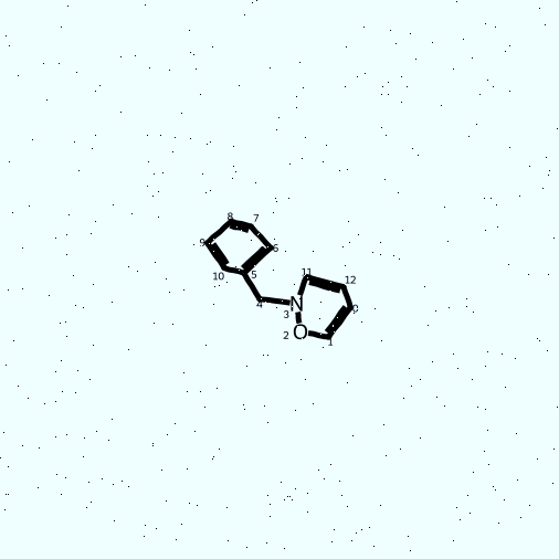 C1=CON(Cc2ccccc2)C=C1